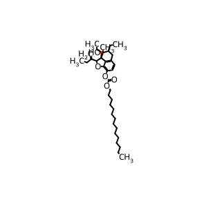 C=C(CC)C1Oc2c(OC(=O)OCCCCCCCCCCCCCCC)ccc3c2C1(CCC)C(C)(O)C(CC)C3